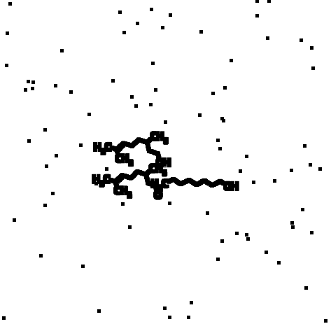 CC(C)=CCCC(C)CC=O.CC(C)=CCCC(C)CCO.CCCCCCCCO